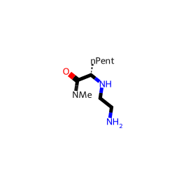 CCCCC[C@H](NCCN)C(=O)NC